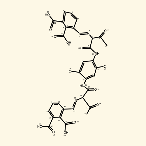 CC(=O)C(N=Nc1cccc(C(=O)O)c1C(=O)O)C(=O)Nc1cc(Cl)c(NC(=O)C(N=Nc2cccc(C(=O)O)c2C(=O)O)C(C)=O)cc1Cl